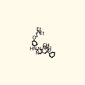 CCN(CC)CCOc1ccc(Nc2ncc3c(n2)N(C)S(=O)(=O)C(c2ccccc2)=C3)cc1